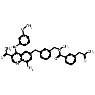 COc1cccc(Nc2c(C(N)=O)cnc3c(C)cc(Cc4cccc(CN(C)C(=O)c5cccc(CC(C)=O)c5)c4)cc23)c1